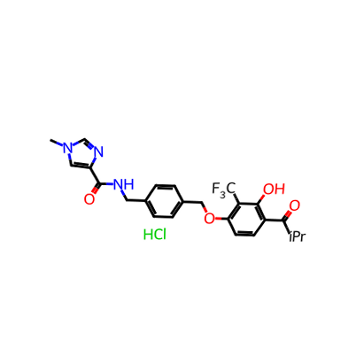 CC(C)C(=O)c1ccc(OCc2ccc(CNC(=O)c3cn(C)cn3)cc2)c(C(F)(F)F)c1O.Cl